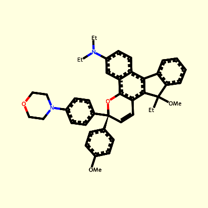 CCN(CC)c1ccc2c3c(c4c(c2c1)O[C@@](c1ccc(OC)cc1)(c1ccc(N2CCOCC2)cc1)C=C4)C(CC)(OC)c1ccccc1-3